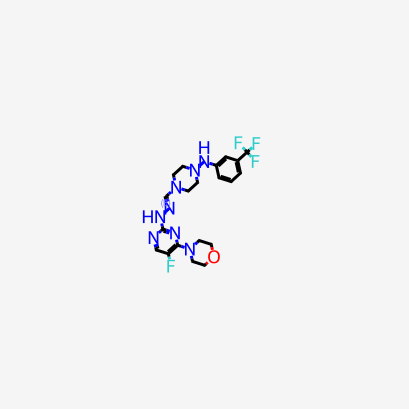 Fc1cnc(N/N=C/N2CCN(Nc3cccc(C(F)(F)F)c3)CC2)nc1N1CCOCC1